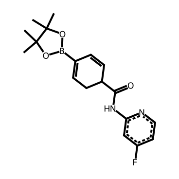 CC1(C)OB(C2=CCC(C(=O)Nc3cc(F)ccn3)C=C2)OC1(C)C